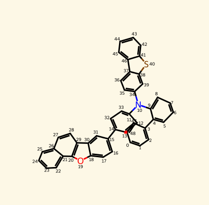 c1ccc(-c2ccccc2N(c2ccc(-c3ccc4oc5c6ccccc6ccc5c4c3)cc2)c2ccc3c(c2)sc2ccccc23)cc1